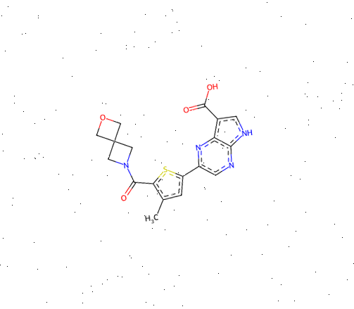 Cc1cc(-c2cnc3[nH]cc(C(=O)O)c3n2)sc1C(=O)N1CC2(COC2)C1